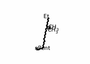 CC/C=C/CCCCC(CCCCCCCCCCC/C=C\C/C=C\CCCCC)N(C)C